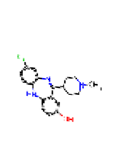 CN1CCC(C2=Nc3cc(Cl)ccc3Nc3ccc(O)cc32)CC1